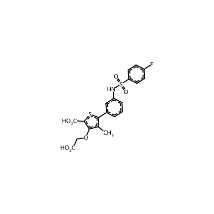 Cc1c(-c2cccc(NS(=O)(=O)c3ccc(F)cc3)c2)sc(C(=O)O)c1OCC(=O)O